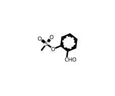 CS(=O)(=O)Oc1ccccc1C=O